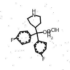 Cl.O.OC(c1ccc(F)cc1)(c1ccc(F)cc1)C1CCNCC1